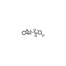 Cc1ccc(Cl)cc1NC(=O)CSc1nc2ccccc2[nH]1